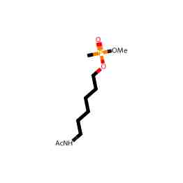 COP(C)(=O)OCCCCCCNC(C)=O